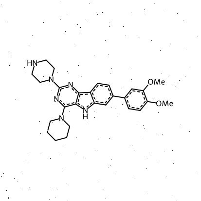 COc1ccc(-c2ccc3c(c2)[nH]c2c(N4CCCCC4)nc(N4CCNCC4)nc23)cc1OC